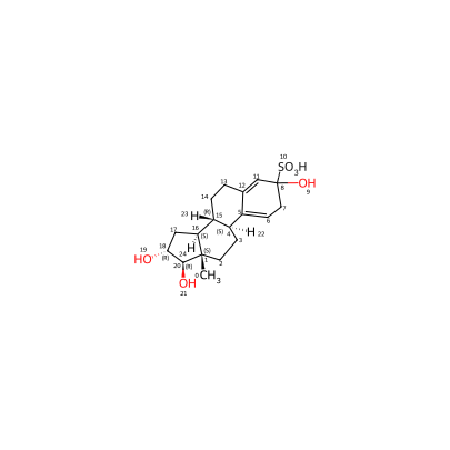 C[C@]12CC[C@@H]3C4=CCC(O)(S(=O)(=O)O)C=C4CC[C@H]3[C@@H]1C[C@@H](O)[C@@H]2O